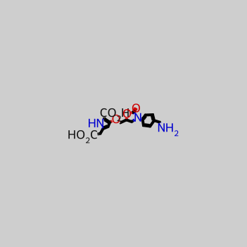 NCc1ccc(N2CC(COc3cc(CC(=O)O)[nH]c3C(=O)O)OC2=O)cc1